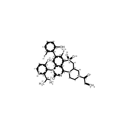 C=CC(=O)N1CCN2c3nc(=O)n(-c4c(C)ccnc4C(C)C)c4cc(-c5c(O)cccc5F)c(F)c(c34)S(=O)(=O)CC2C1